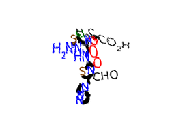 C[C@H](O/N=C(\C(=O)NC1C(=O)N2C(C=O)=C(Cn3cc[n+]4ncccc34)CSC12)c1nc(N)sc1Cl)C(=O)O